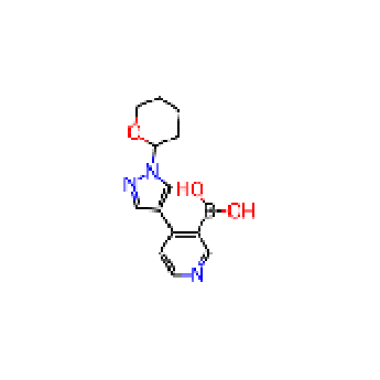 OB(O)c1cnccc1-c1cnn(C2CCCCO2)c1